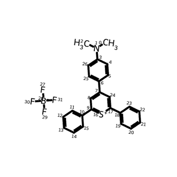 CN(C)c1ccc(-c2cc(-c3ccccc3)[s+]c(-c3ccccc3)c2)cc1.F[B-](F)(F)F